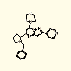 c1ccc(CN2CCCC2c2cc(N3CCOCC3)n3nc(-c4ccncc4)cc3n2)cc1